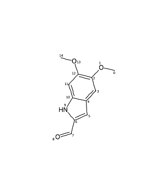 COc1cc2cc(C=O)[nH]c2cc1OC